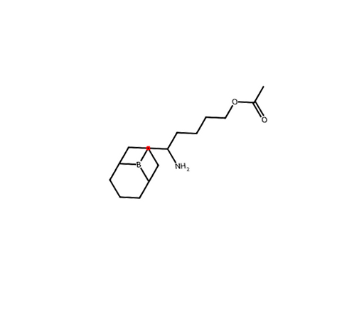 CC(=O)OCCCCC(N)CB1C2CCCC1CCC2